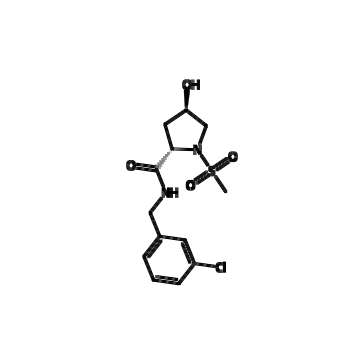 CS(=O)(=O)N1C[C@H](O)C[C@H]1C(=O)NCc1cccc(Cl)c1